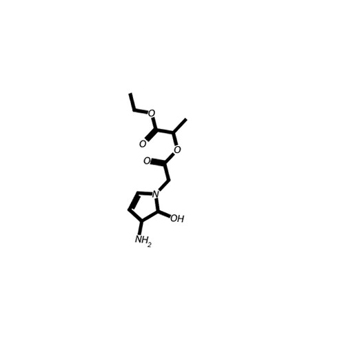 CCOC(=O)C(C)OC(=O)CN1C=CC(N)C1O